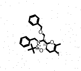 CC1=C(I)CC[C@@H]([C@H](COCc2ccccc2)N(Cc2ccccc2)[S@@+]([O-])C(C)(C)C)O1